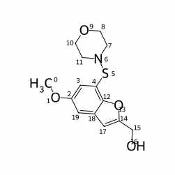 COc1cc(SN2CCOCC2)c2oc(CO)cc2c1